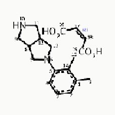 Cc1cccc(N2CC3CNCC3C2)c1C.O=C(O)/C=C\C(=O)O